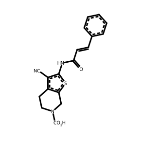 N#Cc1c(NC(=O)C=Cc2ccccc2)sc2c1CCN(C(=O)O)C2